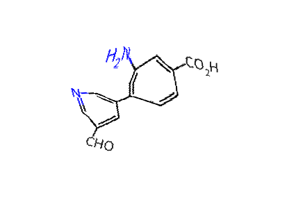 Nc1cc(C(=O)O)ccc1-c1cncc(C=O)c1